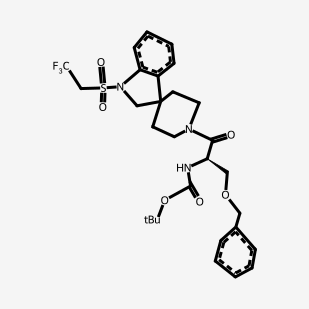 CC(C)(C)OC(=O)N[C@H](COCc1ccccc1)C(=O)N1CCC2(CC1)CN(S(=O)(=O)CC(F)(F)F)c1ccccc12